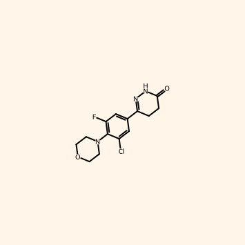 O=C1CCC(c2cc(F)c(N3CCOCC3)c(Cl)c2)=NN1